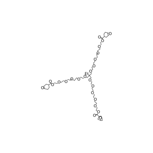 CCC(COCCOCCOCCOCCOCCOC(=O)C1CC2CC(C1)O2)(COCCOCCOCCOCCOCCOC(=O)C1CCC2OC2C1)COCCOCCOCCOCCOCCOC(=O)C1CCC2OC2C1